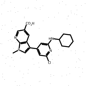 Cn1cc(-c2cc(Cl)nc(NC3CCCCC3)c2)c2cc(C(=O)O)cnc21